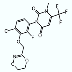 Cn1c(C(F)(F)F)cc(=O)n(-c2ccc(Cl)c(OCC3=NOCCO3)c2F)c1=O